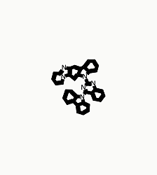 c1ccc2c(-n3c4ccccc4c4ccccc43)nc(-n3c4ccccc4c4cc5nc6ccccn6c5cc43)nc2c1